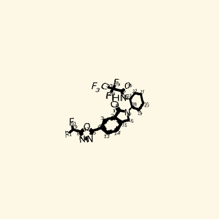 O=C1c2cc(-c3nnc(C(F)F)o3)ccc2CN1[C@@H]1CCCC[C@@H]1NC(=O)C(F)(F)C(F)(F)F